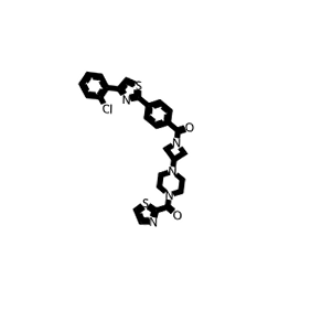 O=C(c1ccc(-c2nc(-c3ccccc3Cl)cs2)cc1)N1CC(N2CCN(C(=O)c3nccs3)CC2)C1